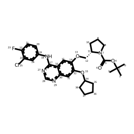 CC(C)(C)OC(=O)N1CCC[C@H]1COc1cc2c(Nc3ccc(F)c(Cl)c3)ncnc2cc1OC1CCCC1